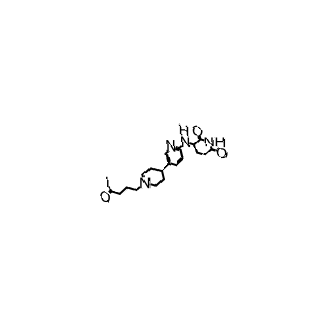 O=C(I)CCCN1CCC(c2ccc(NC3CCC(=O)NC3=O)nc2)CC1